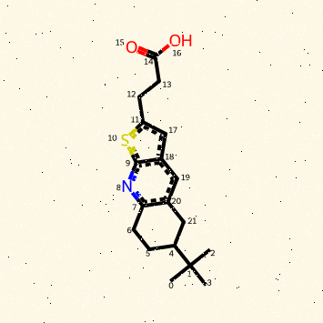 CC(C)(C)C1CCc2nc3sc(CCC(=O)O)cc3cc2C1